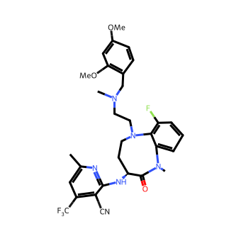 COc1ccc(CN(C)CCN2CC[C@H](Nc3nc(C)cc(C(F)(F)F)c3C#N)C(=O)N(C)c3cccc(F)c32)c(OC)c1